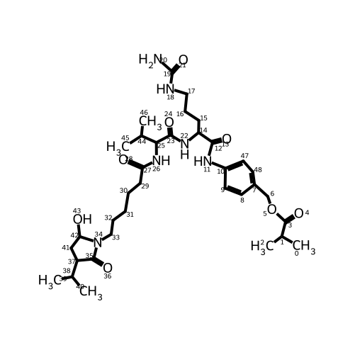 CC(C)C(=O)OCc1ccc(NC(=O)C(CCCNC(N)=O)NC(=O)C(NC(=O)CCCCCN2C(=O)C(C(C)C)CC2O)C(C)C)cc1